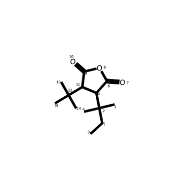 CCC(C)(C)C1C(=O)OC(=O)C1C(C)(C)C